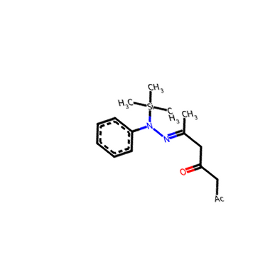 CC(=O)CC(=O)C/C(C)=N/N(c1ccccc1)[Si](C)(C)C